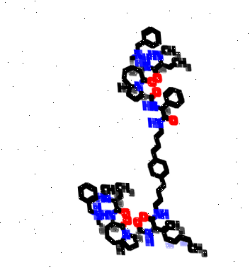 C=C(/C=C\C=C/C)[C@H](NC(=O)[C@@H]1CC[C@@H]2CC[C@H](CNCc3ccccc3)[C@H](NC(=O)[C@H](CC)NC)C(=O)N21)C(=O)NCCCCC1CCC(CCCCNC(=O)[C@@H](NC(=O)[C@@H]2CC[C@@H]3CC[C@H](CNCc4ccccc4)[C@H](NC(=O)[C@H](CC)NC)C(=O)N32)c2ccccc2)CC1